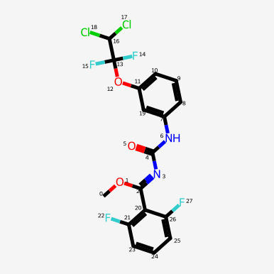 CO/C(=N\C(=O)Nc1cccc(OC(F)(F)C(Cl)Cl)c1)c1c(F)cccc1F